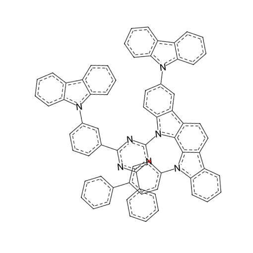 c1ccc(-c2ccc(-n3c4ccccc4c4ccc5c6cc(-n7c8ccccc8c8ccccc87)ccc6n(-c6nc(-c7ccccc7)nc(-c7cccc(-n8c9ccccc9c9ccccc98)c7)n6)c5c43)cc2)cc1